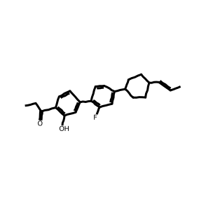 C/C=C/C1CCC(c2ccc(-c3ccc(C(=O)CC)c(O)c3)c(F)c2)CC1